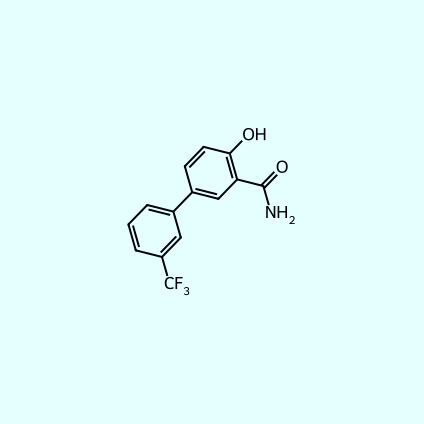 NC(=O)c1cc(-c2cccc(C(F)(F)F)c2)ccc1O